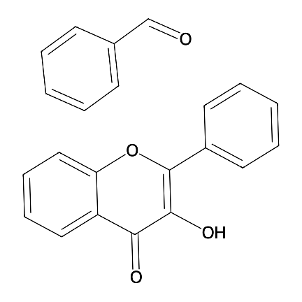 O=Cc1ccccc1.O=c1c(O)c(-c2ccccc2)oc2ccccc12